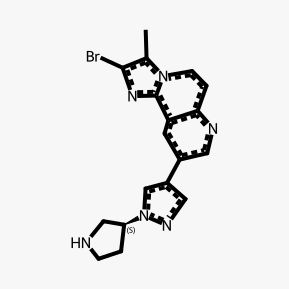 Cc1c(Br)nc2c3cc(-c4cnn([C@H]5CCNC5)c4)cnc3ccn12